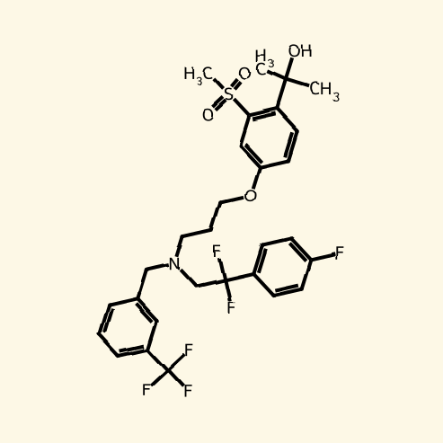 CC(C)(O)c1ccc(OCCCN(Cc2cccc(C(F)(F)F)c2)CC(F)(F)c2ccc(F)cc2)cc1S(C)(=O)=O